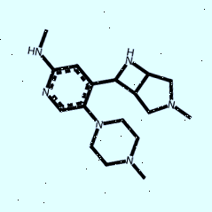 CNc1cc(C2NC3CN(C)CC32)c(N2CCN(C)CC2)cn1